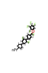 CCCC1CCC(c2cc(F)c(-c3ccc(C(F)(F)Oc4cc(F)c(F)c(F)c4)cc3)c(F)c2)CC1